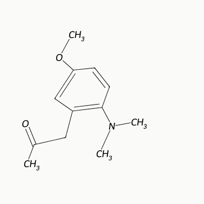 COc1ccc(N(C)C)c(CC(C)=O)c1